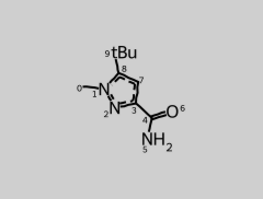 Cn1nc(C(N)=O)cc1C(C)(C)C